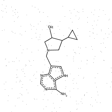 Nc1ncnc2c(CN3CC(O)C(C4CC4)C3)c[nH]c12